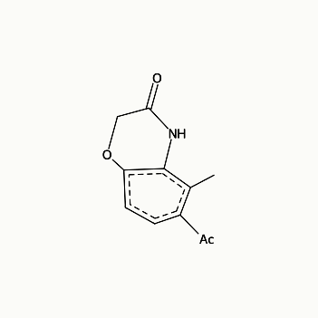 CC(=O)c1ccc2c(c1C)NC(=O)CO2